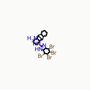 NC1C2c3ccccc3C(c3ccccc32)C1Nc1nc2c(Br)c(Br)c(Br)c(Br)c2[nH]1